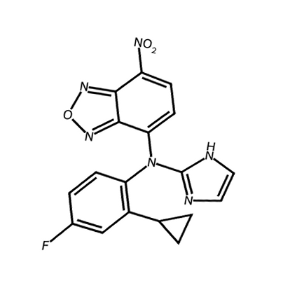 O=[N+]([O-])c1ccc(N(c2ncc[nH]2)c2ccc(F)cc2C2CC2)c2nonc12